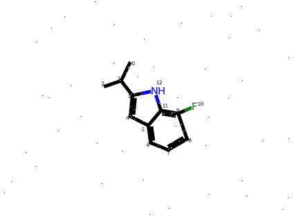 CC(C)c1cc2cccc(F)c2[nH]1